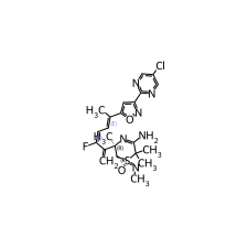 C=C(/C(F)=C\C=C(/C)c1cc(-c2ncc(Cl)cn2)no1)[C@]1(C)C[S@](=O)(=NC)C(C)(C)C(N)=N1